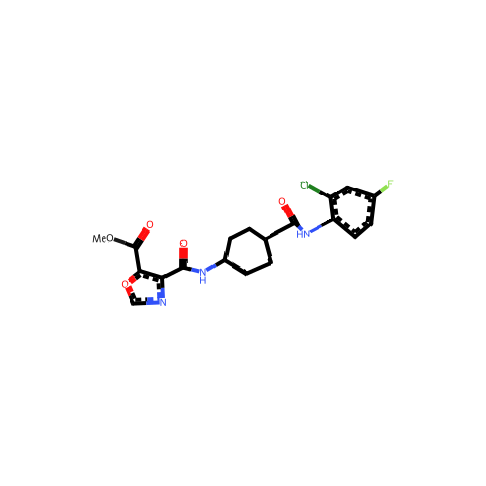 COC(=O)c1ocnc1C(=O)NC1CCC(C(=O)Nc2ccc(F)cc2Cl)CC1